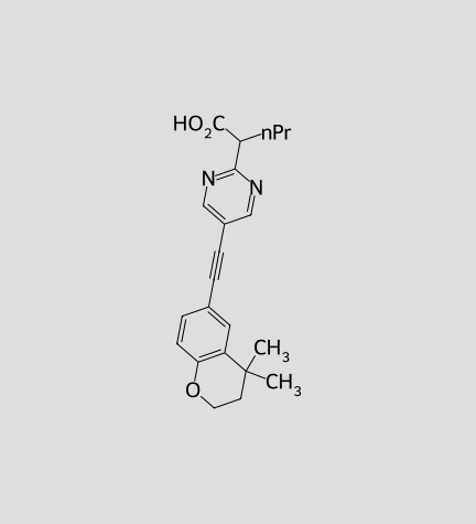 CCCC(C(=O)O)c1ncc(C#Cc2ccc3c(c2)C(C)(C)CCO3)cn1